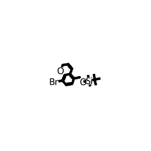 CC(C)(C)[Si](C)(C)OCc1ccc(Br)c2c1C=CCO2